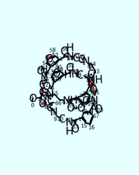 COC(=O)CN1CCN2CCNC(=O)c3cccc(c3OC)C(=O)NCCN(CCNC(=O)c3cccc(c3OC)C1=O)CCN1CCNC(=O)c3cccc(c3OC)C(=O)NCCN(CCNC(=O)c3cccc(c3OC)C(=O)NCC1)CC2